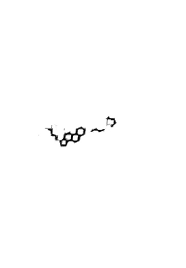 CC(CC[C@H](O)C(C)C)[C@H]1CCC2C3CC=C4C[C@@H](OC(=O)CCC(=O)ON5C(=O)CCC5=O)CC[C@]4(C)C3CC[C@@]21C